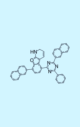 C1=Cc2c(oc3c(-c4ccc5ccccc5c4)ccc(-c4nc(-c5ccccc5)nc(-c5ccc6ccccc6c5)n4)c23)NC1